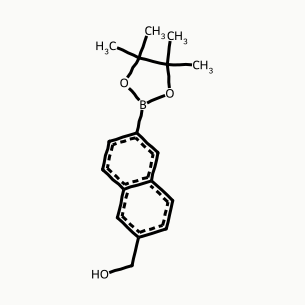 CC1(C)OB(c2ccc3cc(CO)ccc3c2)OC1(C)C